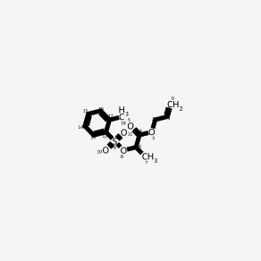 C=CCOC(=O)C(C)OS(=O)(=O)c1ccccc1C